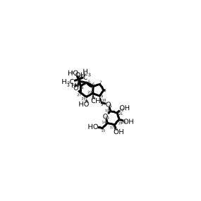 CC(C)(O)[C@H]1C2=C3CC[C@@H](COC4OC(CO)C(O)C(O)C4O)[C@]3(C)[C@H](O)C1OC2O